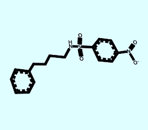 O=[N+]([O-])c1ccc(S(=O)(=O)NCCCCc2ccccc2)cc1